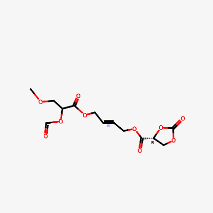 COCC(OC=O)C(=O)OC/C=C/COC(=O)[C@H]1COC(=O)O1